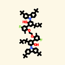 Cc1cc(F)cc(-c2cc(C(C)(C)CC(C)(C)C)cc(-n3c4ccc(C(C)(C)C)cc4c4cc(C(C)(C)C)ccc43)c2O)c1OCCOc1c(C)cc(F)cc1-c1cc(C(C)(C)CC(C)(C)C)cc(-n2c3ccc(C(C)(C)C)cc3c3cc(C(C)(C)C)ccc32)c1O